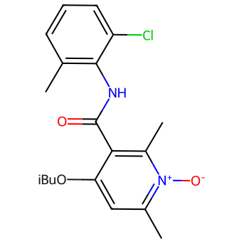 Cc1cccc(Cl)c1NC(=O)c1c(OCC(C)C)cc(C)[n+]([O-])c1C